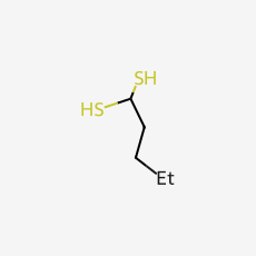 CCCCC(S)S